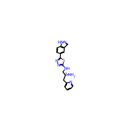 N[C@H](CNc1nnc(-c2ccc3[nH]ncc3c2)s1)Cc1ccccn1